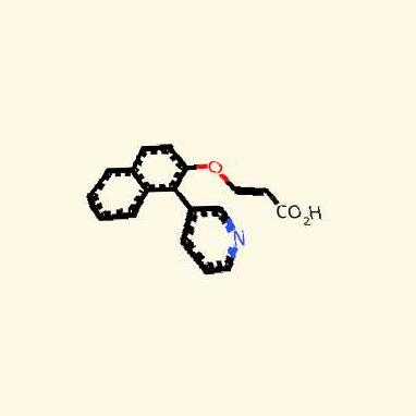 O=C(O)/C=C/Oc1ccc2ccccc2c1-c1cccnc1